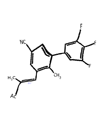 CC(=O)/C(C)=C/c1cc(C#N)cc(-c2cc(F)c(F)c(F)c2)c1C